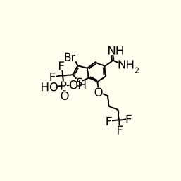 N=C(N)c1cc(OCCCC(F)(F)F)c2sc(C(F)(F)P(=O)(O)O)c(Br)c2c1